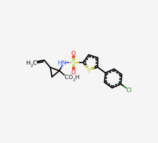 C=CC1CC1(NS(=O)(=O)c1ccc(-c2ccc(Cl)cc2)s1)C(=O)O